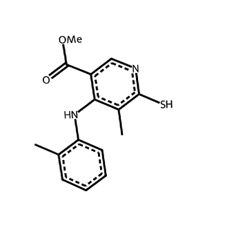 COC(=O)c1cnc(S)c(C)c1Nc1ccccc1C